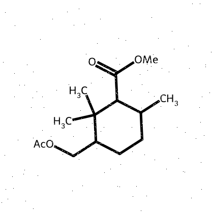 COC(=O)C1C(C)CCC(COC(C)=O)C1(C)C